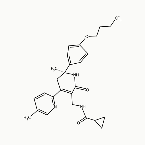 Cc1ccc(C2=C(CNC(=O)C3CC3)C(=O)N[C@@](c3ccc(OCCCC(F)(F)F)cc3)(C(F)(F)F)C2)nc1